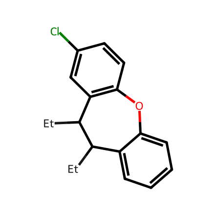 CCC1c2ccccc2Oc2ccc(Cl)cc2C1CC